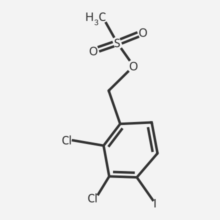 CS(=O)(=O)OCc1ccc(I)c(Cl)c1Cl